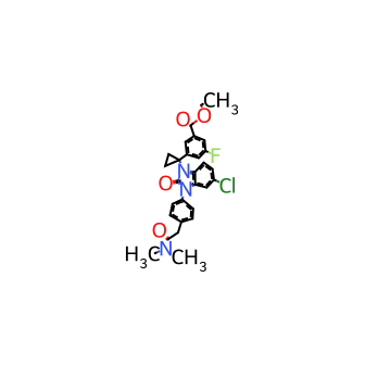 CCOC(=O)c1cc(F)cc(C2(n3c(=O)n(-c4ccc(CC(=O)N(C)C)cc4)c4cc(Cl)ccc43)CC2)c1